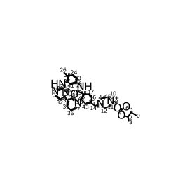 CCC(C)OC(=O)OC[N+]1(C)CCN(Cc2ccc(C(=O)Nc3ccc(C)c(Nc4nccc(-c5cccnc5)n4)c3)cc2)CC1